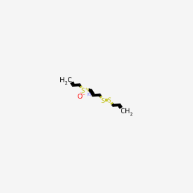 C=CCSSC/C=C/[S+]([O-])CC=C